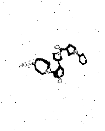 O=C(O)C1CCN(c2cc(Cl)ccc2C2CCN(C(=O)C3CCN(C4CCCCC4)C3)C2)CC1